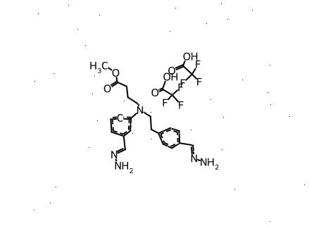 COC(=O)CCCN(CCc1ccc(C=NN)cc1)c1cccc(C=NN)c1.O=C(O)C(F)(F)F.O=C(O)C(F)(F)F